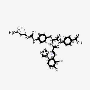 CN(C)CCOC(=O)Nc1ccc(C[C@H](NC(=O)/C=C/c2c(-n3cnnn3)ccc(Cl)c2F)C(=O)Nc2ccc(C(=O)O)cc2)cc1